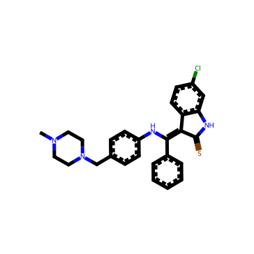 CN1CCN(Cc2ccc(NC(=C3C(=S)Nc4cc(Cl)ccc43)c3ccccc3)cc2)CC1